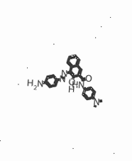 CN(C)c1ccc(NC(=O)c2cc3ccccc3c(N=Nc3ccc(N)cc3)c2O)cc1